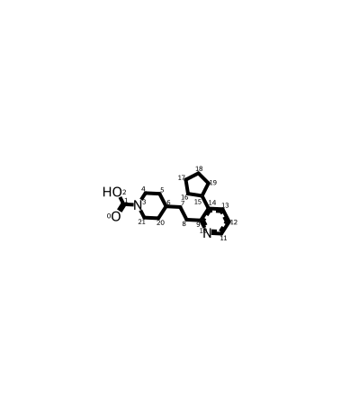 O=C(O)N1CCC(CCc2ncccc2C2CCCC2)CC1